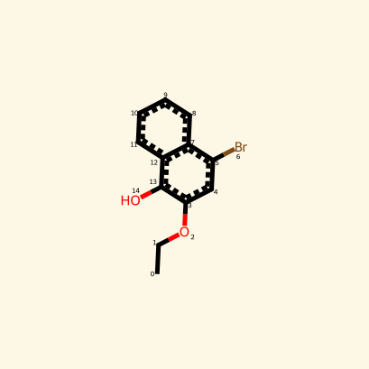 CCOc1cc(Br)c2ccccc2c1O